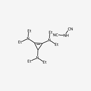 CCN(CC)C1=C(N(CC)CC)C1N(CC)CC.N#CNC#N